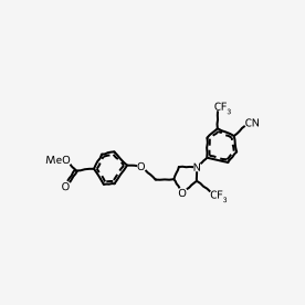 COC(=O)c1ccc(OCC2CN(c3ccc(C#N)c(C(F)(F)F)c3)C(C(F)(F)F)O2)cc1